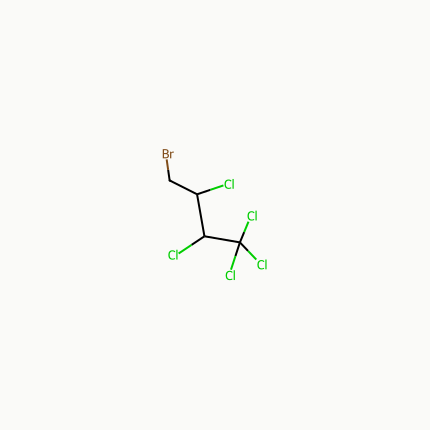 ClC(CBr)C(Cl)C(Cl)(Cl)Cl